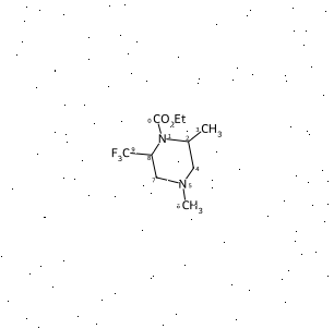 CCOC(=O)N1C(C)CN(C)CC1C(F)(F)F